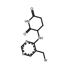 O=C1CCC(Nc2ncncc2CBr)C(=O)N1